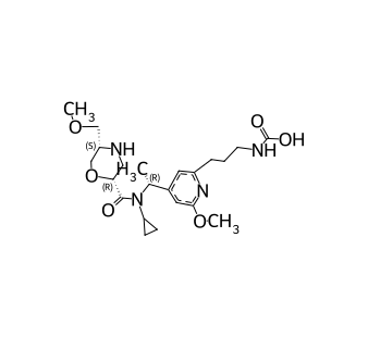 COC[C@H]1CO[C@@H](C(=O)N(C2CC2)[C@H](C)c2cc(CCCNC(=O)O)nc(OC)c2)CN1